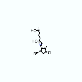 C[C@@H]1[C@@H](/C=C/[C@@H](O)CCC[C@@H](C)O)[C@H](C#N)C[C@H]1Cl